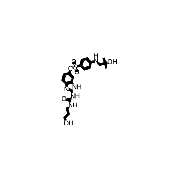 CC(C)(O)CNc1ccc(S(=O)(=O)Oc2ccc3nc(NC(=O)NCCCO)[nH]c3c2)cc1